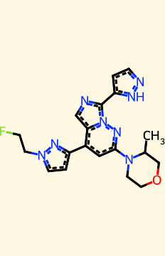 CC1COCCN1c1cc(-c2ccn(CCF)n2)c2cnc(-c3ccn[nH]3)n2n1